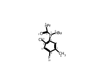 CCCCN(C(=O)CCC)c1cc(C)c(F)cc1Cl